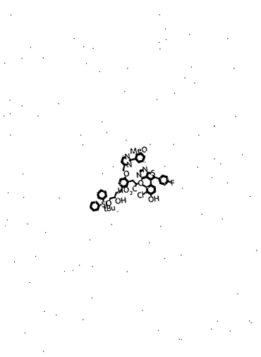 COc1ccccc1-c1nccc(COc2ccc(CCC(O)CO[Si](c3ccccc3)(c3ccccc3)C(C)(C)C)cc2CC(Oc2ncnc3sc(-c4ccc(F)cc4)c(-c4ccc(O)c(Cl)c4C)c23)C(=O)O)n1